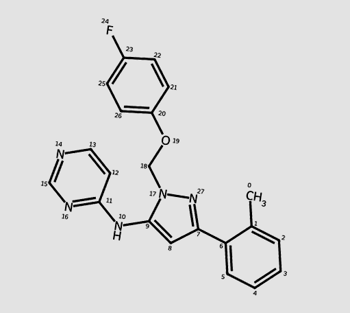 Cc1ccccc1-c1cc(Nc2ccncn2)n(COc2ccc(F)cc2)n1